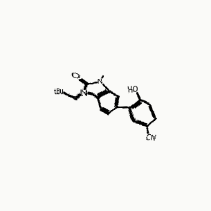 Cn1c(=O)n(CC(C)(C)C)c2ccc(-c3cc(C#N)ccc3O)cc21